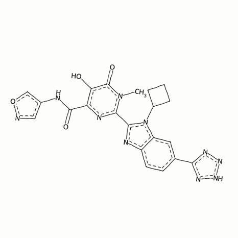 Cn1c(-c2nc3ccc(-c4nn[nH]n4)cc3n2C2CCC2)nc(C(=O)Nc2cnoc2)c(O)c1=O